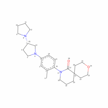 Cc1cc(N2CC[C@H](N3CCCC3)C2)ccc1N1CCCC2(CCOCC2)C1=O